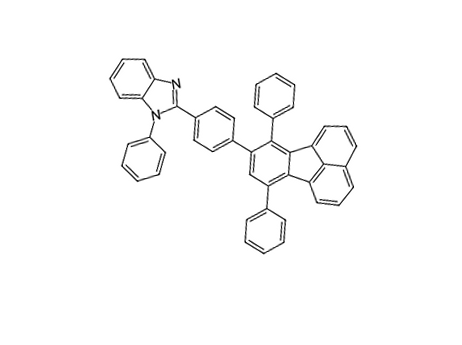 c1ccc(-c2cc(-c3ccc(-c4nc5ccccc5n4-c4ccccc4)cc3)c(-c3ccccc3)c3c2-c2cccc4cccc-3c24)cc1